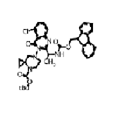 CC(NC(=O)OCC1c2ccccc2-c2ccccc21)c1nc2cccc(Cl)c2c(=O)n1N1CCN(C(=O)OC(C)(C)C)C2(CC2)C1